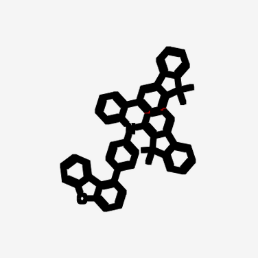 CC1(C)c2ccccc2-c2cc(-c3ccccc3N(c3ccc(-c4cccc5oc6ccccc6c45)cc3)c3cccc4c3C(C)(C)c3ccccc3-4)ccc21